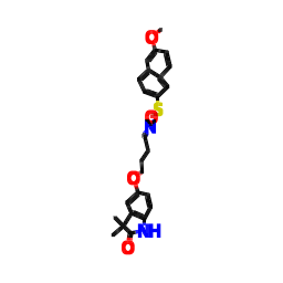 COc1ccc2cc(SON=CCCCOc3ccc4c(c3)C(C)(C)C(=O)N4)ccc2c1